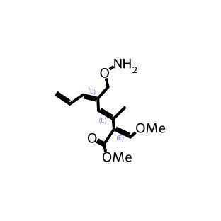 C=C\C=C(/C=C(C)/C(=C\OC)C(=O)OC)CON